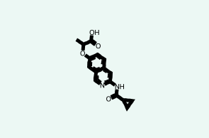 CC(Oc1ccc2cc(NC(=O)C3CC3)ncc2c1)C(=O)O